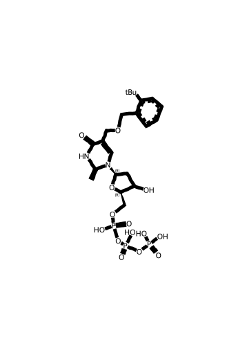 C=C1NC(=O)C(COCc2ccccc2C(C)(C)C)=CN1[C@H]1CC(O)[C@@H](COP(=O)(O)OP(=O)(O)OP(=O)(O)O)O1